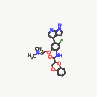 CN(C)CCOc1cc(-c2ccnc3[nH]ccc23)c(F)cc1NC(=O)C1COc2ccccc2O1